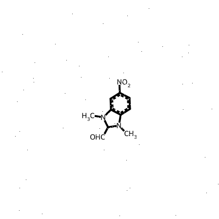 CN1c2ccc([N+](=O)[O-])cc2N(C)C1C=O